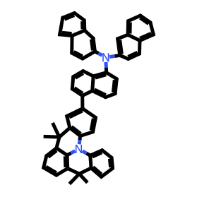 CC1(C)c2ccccc2N2c3ccc(-c4cccc5c(N(c6ccc7ccccc7c6)c6ccc7ccccc7c6)cccc45)cc3C(C)(C)c3cccc1c32